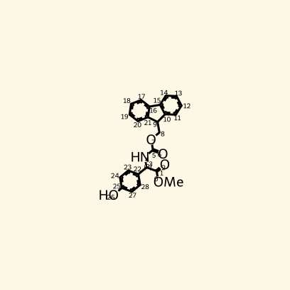 COC(=O)[C@H](NC(=O)OCC1c2ccccc2-c2ccccc21)c1ccc(O)cc1